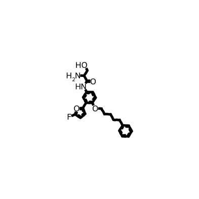 NC(CO)C(=O)Nc1ccc(OCCCCCc2ccccc2)c(-c2ccc(F)o2)c1